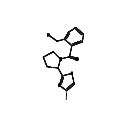 Cc1csc(C2CCCN2C(=O)c2ccccc2CF)n1